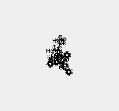 Cn1c(SCC2=C(C(=O)O)N3C(=O)[C@@](NO[Si](c4ccccc4)(c4ccccc4)C(C)(C)C)(NC(=O)C(NC(=O)N4CCN(Cc5ccccc5)C(=O)C4=O)c4ccccc4)[C@@H]3SC2)n[nH]c(=O)c1=O